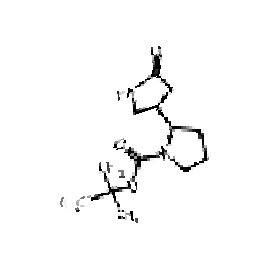 CC(C)(C)OC(=O)N1CCCC1C1CNC(=O)C1